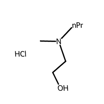 CCCN(C)CCO.Cl